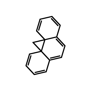 C1=CC2=CC=C3C=CC=CC34CC24C=C1